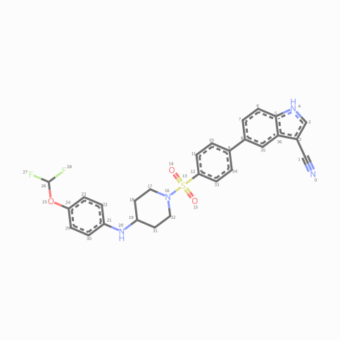 N#Cc1c[nH]c2ccc(-c3ccc(S(=O)(=O)N4CCC(Nc5ccc(OC(F)F)cc5)CC4)cc3)cc12